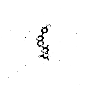 Cc1cc(=O)n2nc(N3CCc4ncc(-c5ccc(C(F)(F)F)nc5)cc4C3)c(C)cc2n1